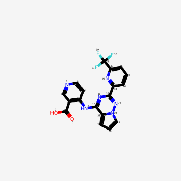 O=C(O)c1cnccc1Nc1nc(-c2cccc(C(F)(F)F)n2)nn2cccc12